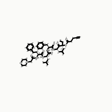 C#CCCC(=O)O[C@](C)(CC)C(=O)[C@H](CC(C)C)NC(=O)[C@H](Cc1ccccc1)NC(=O)[C@H](CC(C)C)NC(=O)[C@H](CCc1ccccc1)NC(=O)CN1CCOCC1